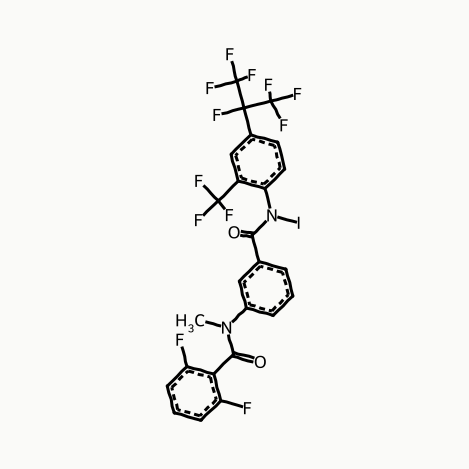 CN(C(=O)c1c(F)cccc1F)c1cccc(C(=O)N(I)c2ccc(C(F)(C(F)(F)F)C(F)(F)F)cc2C(F)(F)F)c1